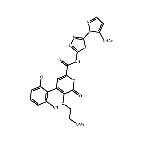 COCCOc1c(-c2c(Cl)cccc2C#N)cc(C(=O)Nc2nnc(-n3nccc3NC(C)=O)s2)oc1=O